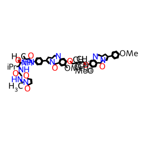 COc1ccc(C2=CN3C(=O)c4cc(OC)c(OCC(C)(C)C(C)(C)COc5cc6c(cc5OC)C(=O)N5C=C(c7ccc(NC(=O)C(C)NC(=O)C(NC(=O)CNC(C)N8C(=O)C=CC8=O)C(C)C)cc7)CC5C=N6)cc4N=CC3C2)cc1